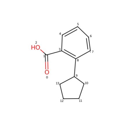 O=C(O)c1ccc[c]c1C1CCCC1